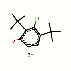 CC(C)(C)c1ccc([O-])c(C(C)(C)C)c1Cl.[Zr+]